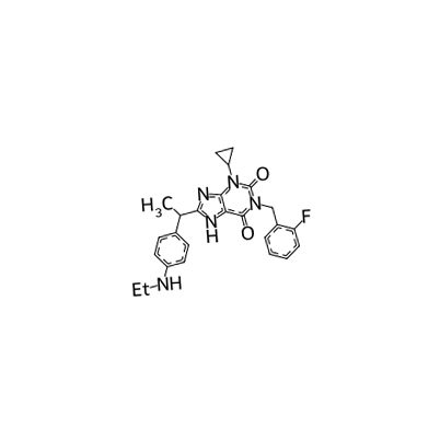 CCNc1ccc(C(C)c2nc3c([nH]2)c(=O)n(Cc2ccccc2F)c(=O)n3C2CC2)cc1